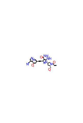 C=CC(=O)N1C[C@@H](n2nc(C#Cc3cc(OC)c4c(C#N)cnn4c3)c(C(N)=O)c2NC)C[C@@H]1COC